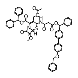 CO[C@@H]1C(=O)N2C(C(=O)OC(c3ccccc3)c3ccccc3)=C(COC(C)=O)C(NC(=O)CC(=O)OC(c3ccccc3)c3ccc(-c4ccc(OCc5ccccc5)cc4)cc3)S[C@H]12